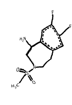 CS(=O)(=O)N1CCc2cc(F)c(F)cc2C(N)C1